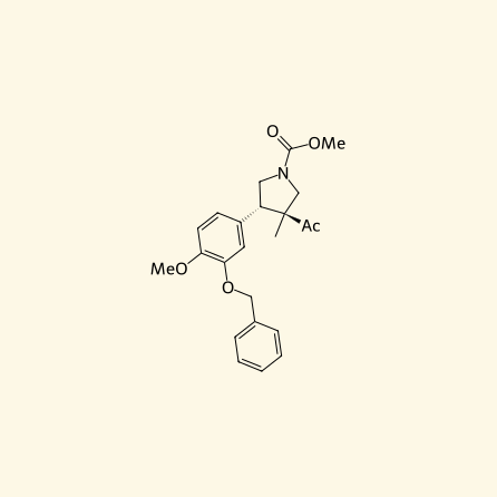 COC(=O)N1C[C@@H](c2ccc(OC)c(OCc3ccccc3)c2)[C@](C)(C(C)=O)C1